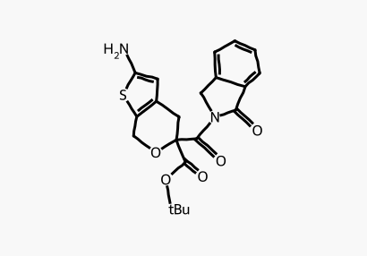 CC(C)(C)OC(=O)C1(C(=O)N2Cc3ccccc3C2=O)Cc2cc(N)sc2CO1